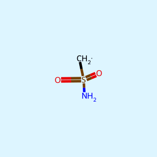 [CH2]S(N)(=O)=O